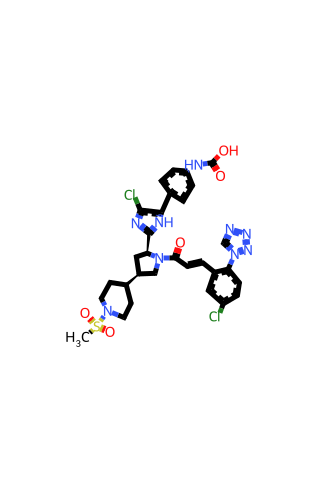 CS(=O)(=O)N1CCC([C@H]2C[C@@H](c3nc(Cl)c(-c4ccc(NC(=O)O)cc4)[nH]3)N(C(=O)C=Cc3cc(Cl)ccc3-n3cnnn3)C2)CC1